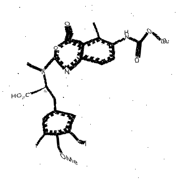 COc1c(I)cc(C[C@@H](C(=O)O)N(C)c2nc3ccc(NC(=O)OC(C)(C)C)c(C)c3c(=O)o2)cc1I